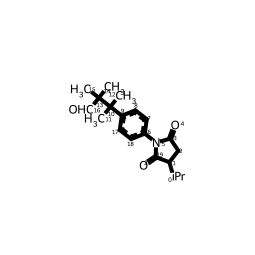 CC(C)C1CC(=O)N(c2ccc(C(C)(C)C(C)(C)C=O)cc2)C1=O